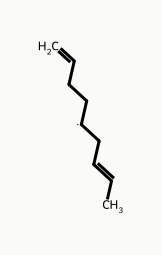 C=CCC[CH]CC=CC